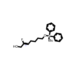 CC(C)(C)[Si](OCCCC/C=C(\F)CO)(c1ccccc1)c1ccccc1